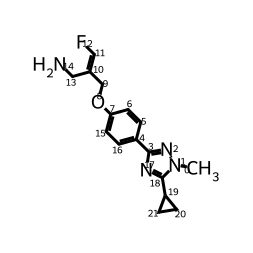 Cn1nc(-c2ccc(OC/C(=C/F)CN)cc2)nc1C1CC1